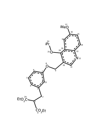 CCOC(=O)C(Cc1cccc(OCc2cnc3ccc(OC)cc3c2OC(C)C)c1)C(=O)OCC